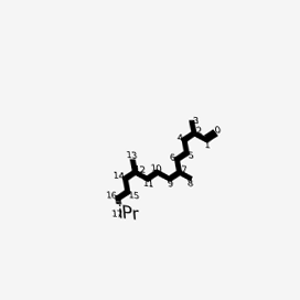 C=CC(C)CCCC(C)CCCC(C)CCCC(C)C